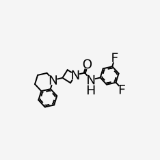 O=C(Nc1cc(F)cc(F)c1)N1CC(N2CCCc3ccccc32)C1